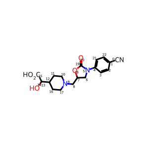 N#Cc1ccc(N2CC(CN3CCC(C(O)C(=O)O)CC3)OC2=O)cc1